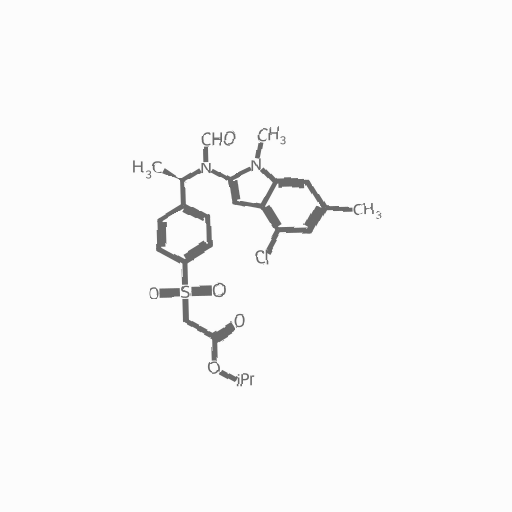 Cc1cc(Cl)c2cc(N(C=O)[C@H](C)c3ccc(S(=O)(=O)CC(=O)OC(C)C)cc3)n(C)c2c1